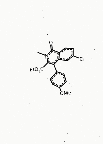 CCOC(=O)c1c(-c2ccc(OC)cc2)c2cc(Cl)ccc2c(=O)n1C